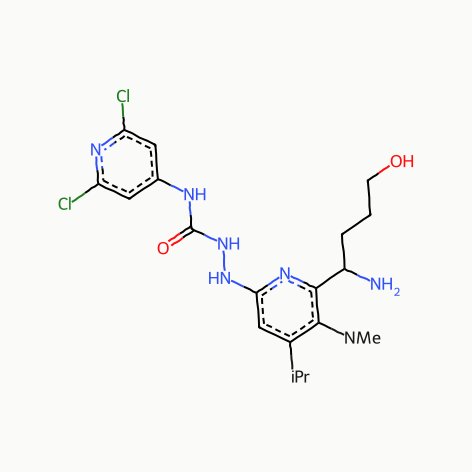 CNc1c(C(C)C)cc(NNC(=O)Nc2cc(Cl)nc(Cl)c2)nc1C(N)CCCO